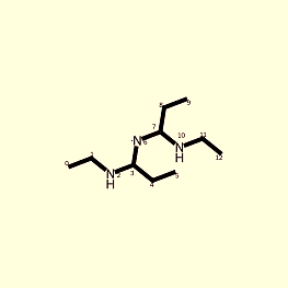 CCNC(CC)[N]C(CC)NCC